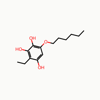 CCCCCCOc1cc(O)c(CC)c(O)c1O